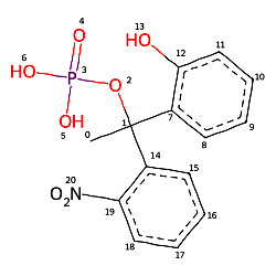 CC(OP(=O)(O)O)(c1ccccc1O)c1ccccc1[N+](=O)[O-]